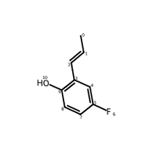 CC=Cc1cc(F)ccc1O